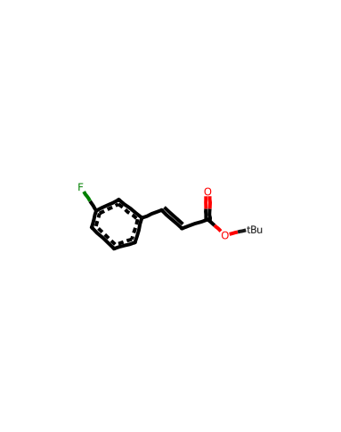 CC(C)(C)OC(=O)/C=C/c1cccc(F)c1